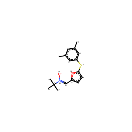 Cc1cc(C)cc(Sc2ccc(C=[N+]([O-])C(C)(C)C)o2)c1